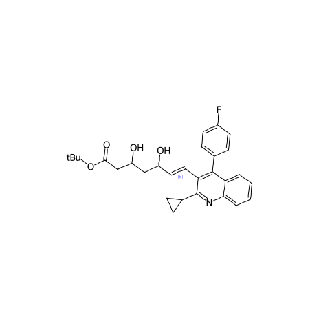 CC(C)(C)OC(=O)CC(O)CC(O)/C=C/c1c(C2CC2)nc2ccccc2c1-c1ccc(F)cc1